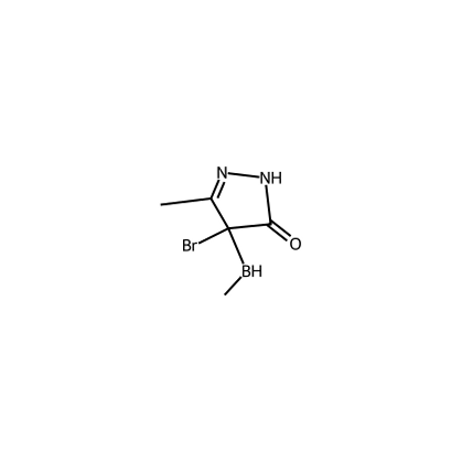 CBC1(Br)C(=O)NN=C1C